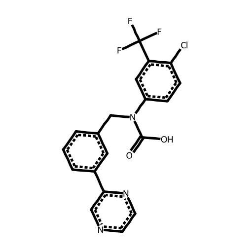 O=C(O)N(Cc1cccc(-c2cnccn2)c1)c1ccc(Cl)c(C(F)(F)F)c1